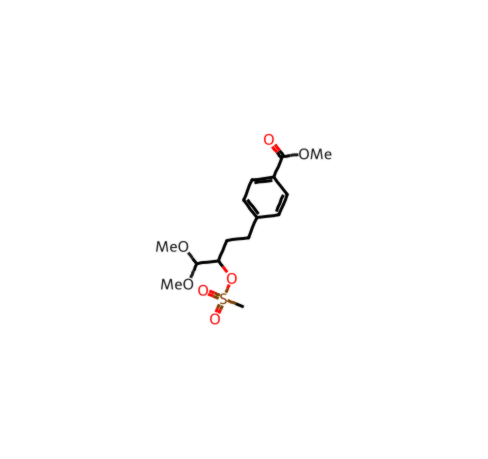 COC(=O)c1ccc(CCC(OS(C)(=O)=O)C(OC)OC)cc1